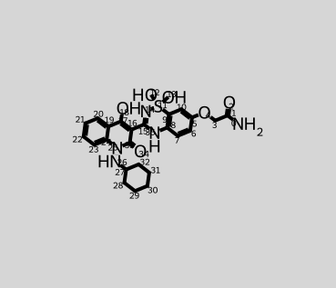 NC(=O)COc1ccc2c(c1)S(O)(O)N=C(c1c(O)c3ccccc3n(NC3CCCCC3)c1=O)N2